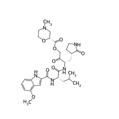 COc1cccc2[nH]c(C(=O)N[C@@H](CC(C)C)C(=O)N[C@@H](C[C@@H]3CCNC3=O)C(=O)COC(=O)[C@H]3CN(C)CCO3)cc12